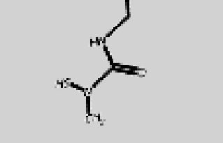 CCNC(=O)N(C)S